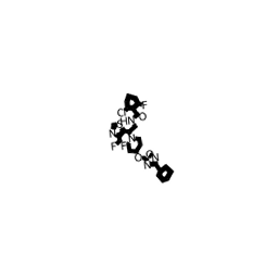 O=C(NCC(c1scnc1C(F)F)N1CCC(Oc2nc(-c3ccccc3)no2)CC1)c1c(F)cccc1Cl